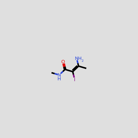 CNC(=O)/C(I)=C(/C)N